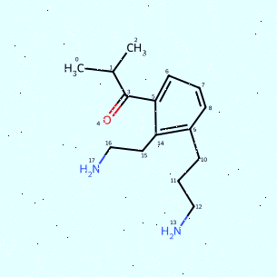 CC(C)C(=O)c1cccc(CCCN)c1CCN